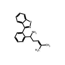 CC(C)=CCC(N)c1ccccc1-c1noc2ccccc12